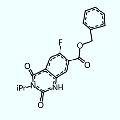 CC(C)n1c(=O)[nH]c2cc(C(=O)OCc3ccccc3)c(F)cc2c1=O